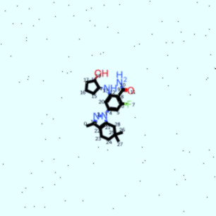 Cc1nn(-c2cc(F)c(C(N)=O)c(N[C@@H]3CCC[C@H]3O)c2)c2c1CCC(C)(C)C2